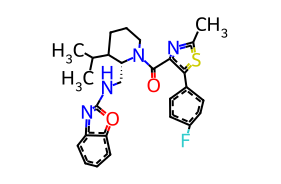 Cc1nc(C(=O)N2CCCC(C(C)C)[C@H]2CNc2nc3ccccc3o2)c(-c2ccc(F)cc2)s1